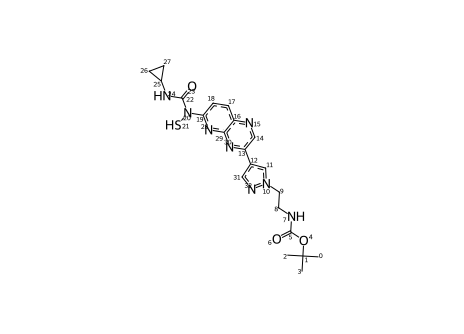 CC(C)(C)OC(=O)NCCn1cc(-c2cnc3ccc(N(S)C(=O)NC4CC4)nc3n2)cn1